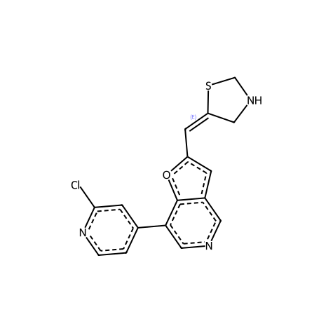 Clc1cc(-c2cncc3cc(/C=C4\CNCS4)oc23)ccn1